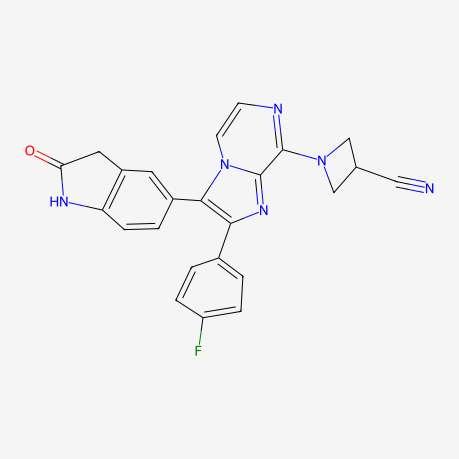 N#CC1CN(c2nccn3c(-c4ccc5c(c4)CC(=O)N5)c(-c4ccc(F)cc4)nc23)C1